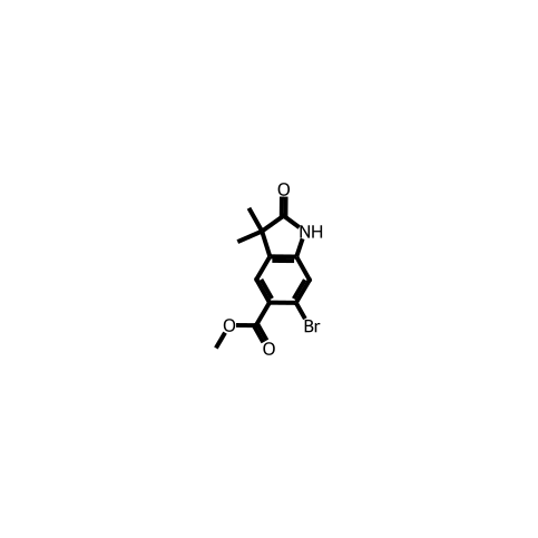 COC(=O)c1cc2c(cc1Br)NC(=O)C2(C)C